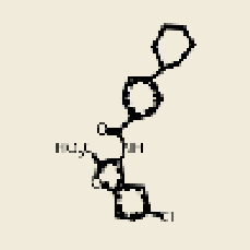 O=C(Nc1c(C(=O)O)oc2ccc(Cl)cc12)c1ccc(C2CCCCC2)cc1